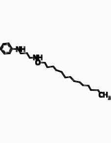 CCCCCCCCCCCCCCONCCCNc1ccccc1